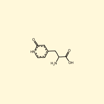 NC(Cc1cc[nH]c(=O)c1)C(=O)O